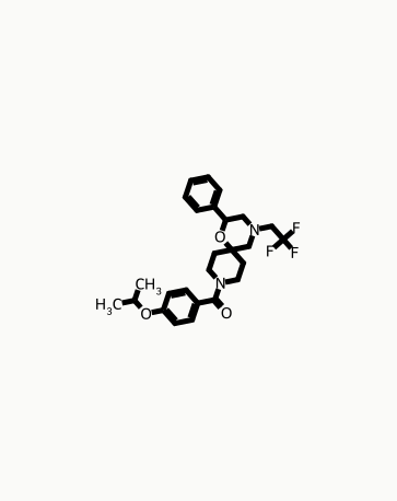 CC(C)Oc1ccc(C(=O)N2CCC3(CC2)CN(CC(F)(F)F)CC(c2ccccc2)O3)cc1